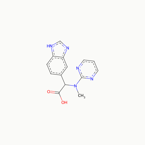 CN(c1ncccn1)C(C(=O)O)c1ccc2[nH]cnc2c1